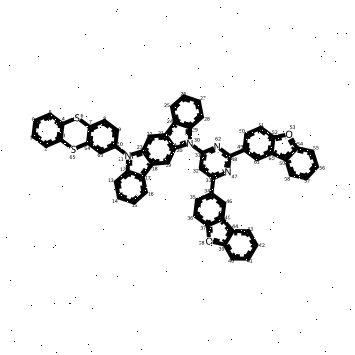 c1ccc2c(c1)Sc1ccc(-n3c4ccccc4c4cc5c(cc43)c3ccccc3n5-c3cc(-c4ccc5oc6ccccc6c5c4)nc(-c4ccc5oc6ccccc6c5c4)n3)cc1S2